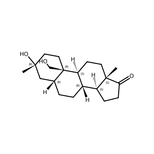 C[C@@]1(O)CC[C@@]2(CO)[C@H](CC[C@@H]3[C@@H]2CC[C@]2(C)C(=O)CC[C@@H]32)C1